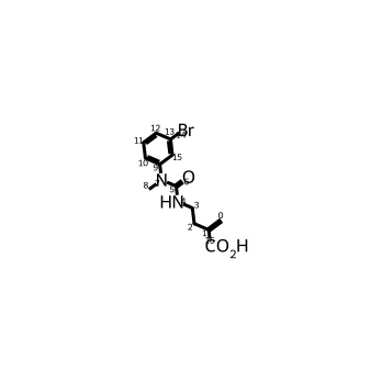 C=C(CCNC(=O)N(C)c1cccc(Br)c1)C(=O)O